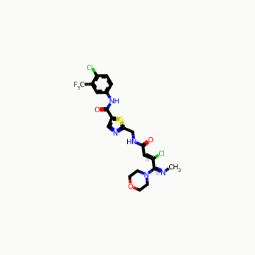 C/N=C(\C(Cl)=C\C(=O)NCc1ncc(C(=O)Nc2ccc(Cl)c(C(F)(F)F)c2)s1)N1CCOCC1